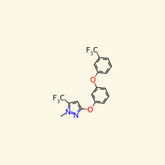 Cn1nc(Oc2cccc(Oc3cccc(C(F)(F)F)c3)c2)cc1C(F)(F)F